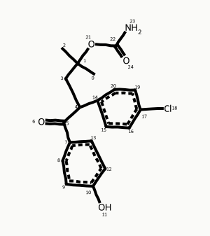 CC(C)(CC(C(=O)c1ccc(O)cc1)c1ccc(Cl)cc1)OC(N)=O